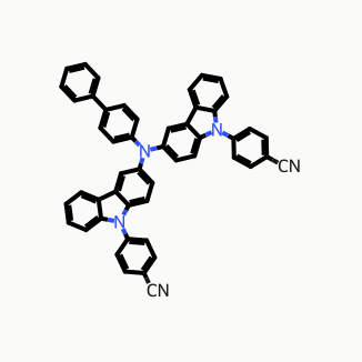 N#Cc1ccc(-n2c3ccccc3c3cc(N(c4ccc(-c5ccccc5)cc4)c4ccc5c(c4)c4ccccc4n5-c4ccc(C#N)cc4)ccc32)cc1